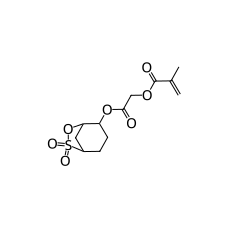 C=C(C)C(=O)OCC(=O)OC1CCC2CC1OS2(=O)=O